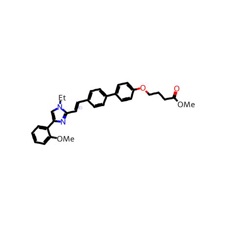 CCn1cc(-c2ccccc2OC)nc1/C=C/c1ccc(-c2ccc(OCCCC(=O)OC)cc2)cc1